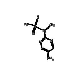 CN(c1ncc(N)cn1)S(C)(=O)=O